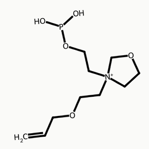 C=CCOCC[N+]1(CCOP(O)O)CCOC1